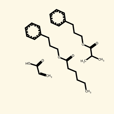 C=CC(=O)O.CC(C)C(=O)OCCCc1ccccc1.CCCCCC(=O)OCCCc1ccccc1